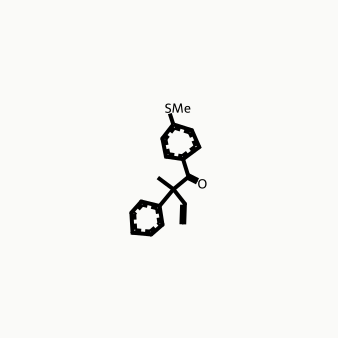 C=CC(C)(C(=O)c1ccc(SC)cc1)c1ccccc1